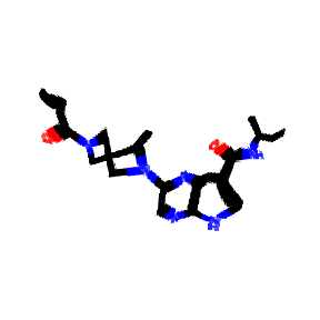 C=CC(=O)N1CC2(C1)CN(c1cnc3[nH]cc(C(=O)NC(C)C)c3n1)C2C